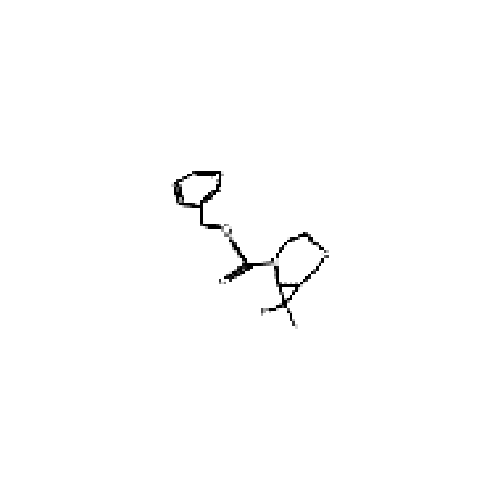 O=C(OCc1ccccc1)N1CCOCC2C1C2(F)Br